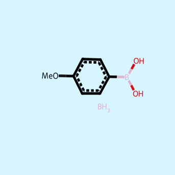 B.COc1ccc(B(O)O)cc1